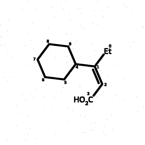 CC/C(=C/C(=O)O)C1CCCCC1